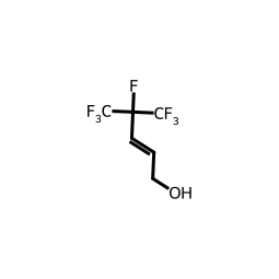 OCC=CC(F)(C(F)(F)F)C(F)(F)F